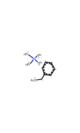 CC(=O)OCc1ccccc1.CCC[N+](CCC)(CCC)CCC